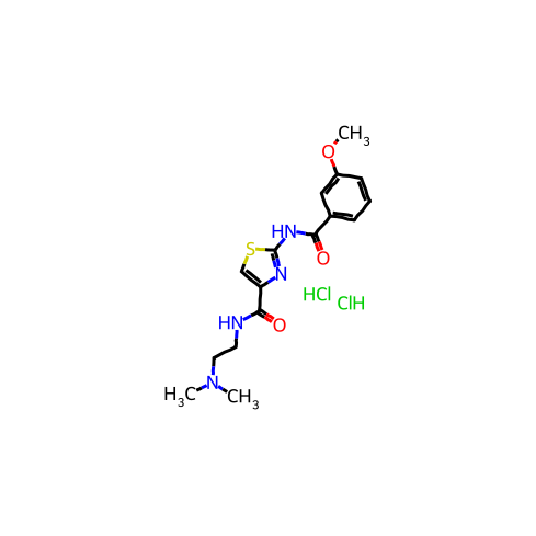 COc1cccc(C(=O)Nc2nc(C(=O)NCCN(C)C)cs2)c1.Cl.Cl